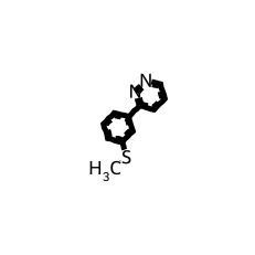 CSc1cccc(-c2cccnn2)c1